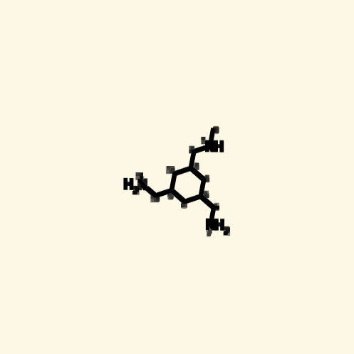 CNCC1CC(CN)CC(CN)C1